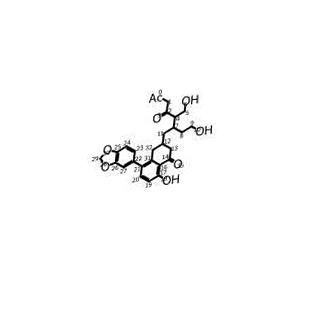 CC(=O)CC(=O)C(CO)C(CCO)CC1CC(=O)c2c(O)ccc(-c3ccc4c(c3)OCO4)c2C1